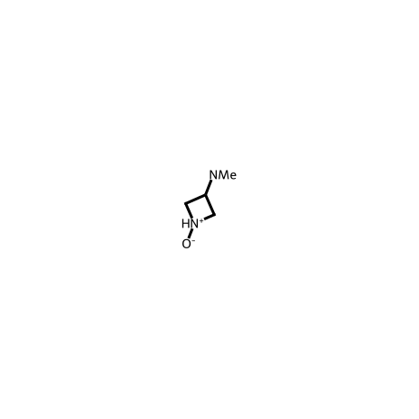 CNC1C[NH+]([O-])C1